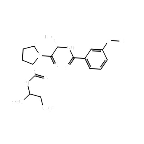 CC(C)Oc1cccc(C(=O)N[C@@H](C)C(=O)N2CCC[C@H]2C(=O)NC(C=O)CC(=O)O)c1